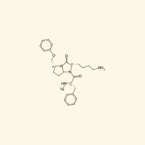 [2H]N[C@@H](Cc1ccccc1)C(=O)N1C2CC[C@H](COc3ccccc3)N2C(=O)[C@@H]1CCCCN